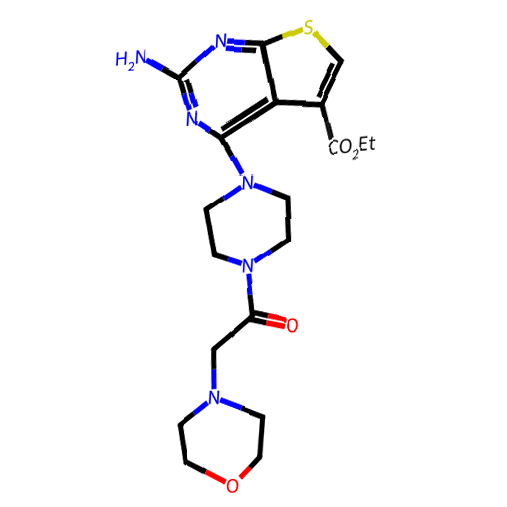 CCOC(=O)c1csc2nc(N)nc(N3CCN(C(=O)CN4CCOCC4)CC3)c12